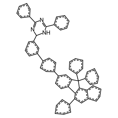 c1ccc(C2=NC(c3cccc(-c4ccc(-c5ccc6c(c5)C(c5ccccc5)(c5ccccc5)c5c-6c(-c6ccccc6)cc6ccccc56)cc4)c3)NC(c3ccccc3)=N2)cc1